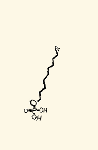 O=P(O)(O)OCCCCCCCCCBr